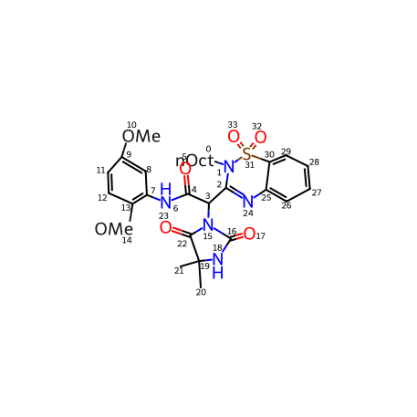 CCCCCCCCN1C(C(C(=O)Nc2cc(OC)ccc2OC)N2C(=O)NC(C)(C)C2=O)=Nc2ccccc2S1(=O)=O